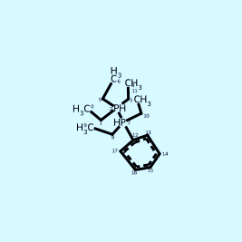 CC[PH](CC)(CC)[PH](CC)(CC)c1ccccc1